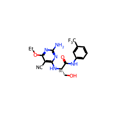 CCOc1nc(N)nc(N[C@@H](CO)C(=O)Nc2cccc(C(F)(F)F)c2)c1C#N